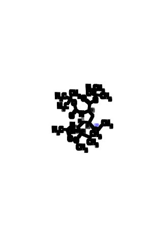 C/C=C\[C@@H]1C[C@H](C(=O)OC(C)(C)C)N(C(=O)OC(C)(C)C)[C@H]1[C@@H](NC(C)=O)[C@H](OC)C(C)C